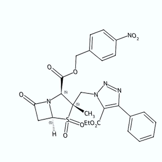 CCOC(=O)c1c(-c2ccccc2)nnn1C[C@@]1(C)[C@H](C(=O)OCc2ccc([N+](=O)[O-])cc2)N2C(=O)C[C@@H]2S1(=O)=O